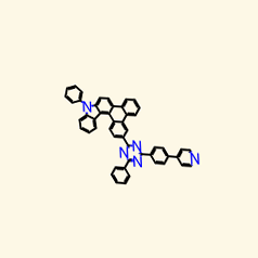 c1ccc(-c2nc(-c3ccc(-c4ccncc4)cc3)nc(-c3ccc4c(c3)c3ccccc3c3ccc5c(c6ccccc6n5-c5ccccc5)c34)n2)cc1